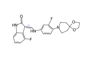 O=C1Nc2cccc(F)c2/C1=C\Nc1ccc(N2CCC3(CC2)OCCO3)c(F)c1